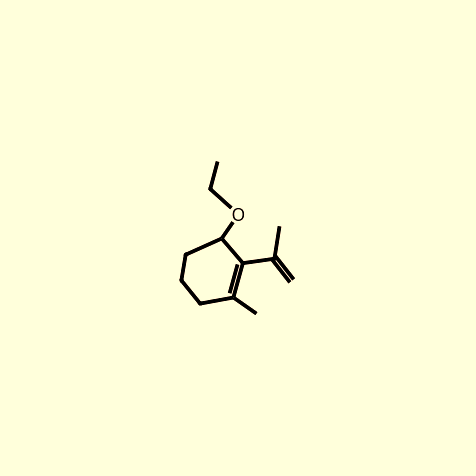 C=C(C)C1=C(C)CCCC1OCC